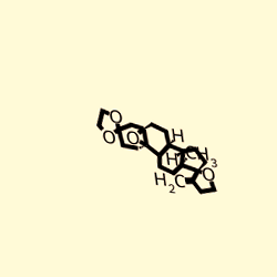 C=C1CCO[C@]12CC[C@H]1[C@@H]3CC[C@@]45CC6(CC[C@@]4(O5)C3CC[C@@]12C)OCCO6